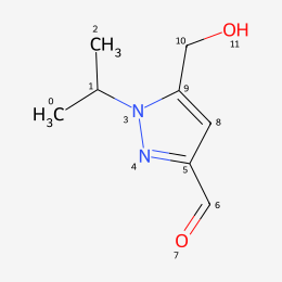 CC(C)n1nc(C=O)cc1CO